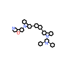 c1ccc(-c2cc(-n3c4ccccc4c4cc(-c5ccc6ccc(-c7ccc8c(c7)c7ccccc7n8-c7ccc8oc9ccncc9c8c7)cc6c5)ccc43)cc(-c3ccccc3)n2)cc1